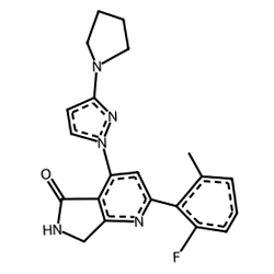 Cc1cccc(F)c1-c1cc(-n2ccc(N3CCCC3)n2)c2c(n1)CNC2=O